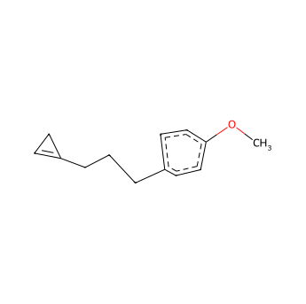 COc1ccc(CCCC2=CC2)cc1